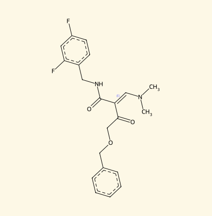 CN(C)/C=C(\C(=O)COCc1ccccc1)C(=O)NCc1ccc(F)cc1F